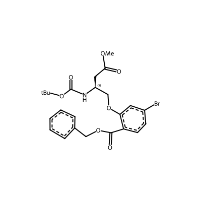 COC(=O)C[C@@H](COc1cc(Br)ccc1C(=O)OCc1ccccc1)NC(=O)OC(C)(C)C